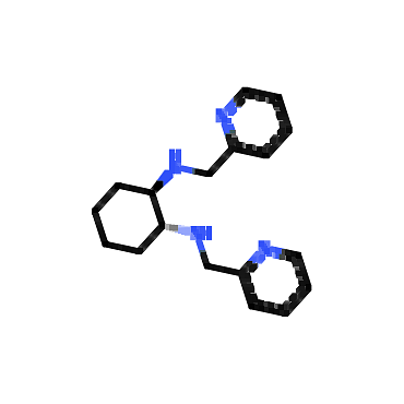 c1ccc(CN[C@@H]2CCCC[C@H]2NCc2ccccn2)nc1